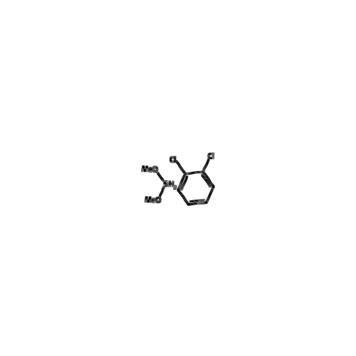 CO[SiH2]OC.Clc1ccccc1Cl